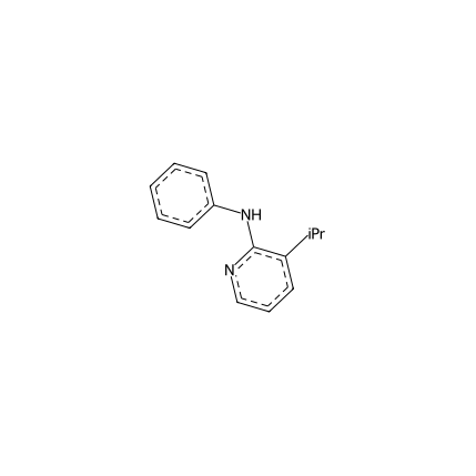 CC(C)c1cccnc1Nc1ccccc1